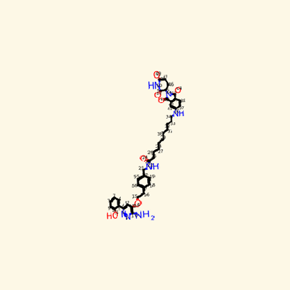 Nc1nnc(-c2ccccc2O)cc1OCCc1ccc(CNC(=O)CCCCCCCCCCNc2ccc3c(c2)C(=O)N(C2CCC(=O)NC2=O)C3=O)cc1